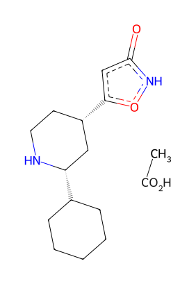 CC(=O)O.O=c1cc([C@H]2CCN[C@@H](C3CCCCC3)C2)o[nH]1